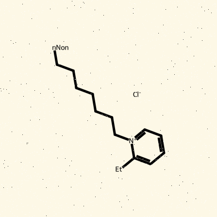 CCCCCCCCCCCCCCCC[n+]1ccccc1CC.[Cl-]